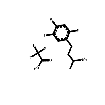 CC(N)CCc1cc(F)c(F)cc1F.O=C(O)C(F)(F)F